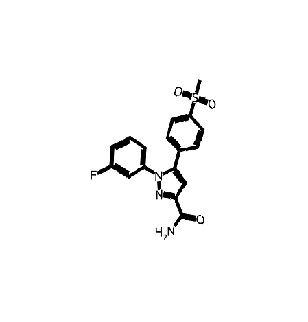 CS(=O)(=O)c1ccc(-c2cc(C(N)=O)nn2-c2cccc(F)c2)cc1